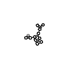 c1ccc(-n2c3ccccc3c3cc(-c4ccc(N(c5ccc(-c6ccc7c(c6)oc6ccccc67)cc5)c5cccc6c5-c5ccccc5C65c6ccccc6-c6ccccc65)cc4)ccc32)cc1